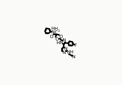 CC1(C(=O)Nc2ccccc2)COC(c2nc(-c3ccc(F)cc3)c(-c3ccnc(NCC#N)n3)[nH]2)OC1